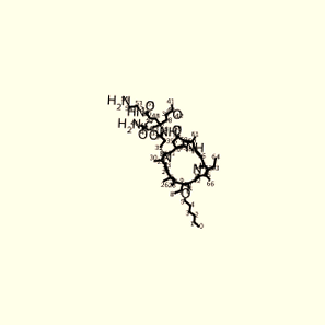 CCCCCCOC(C)c1c(C)cc2nc(cc3[nH]c4c(c5nc(cc(C)c1C)C(C)[C@@H]5CCC(=O)NC(CCC(C)=O)(CCC(N)=O)CCC(=O)NCCN)CC(=O)c4c3C)C(CC)=C2C